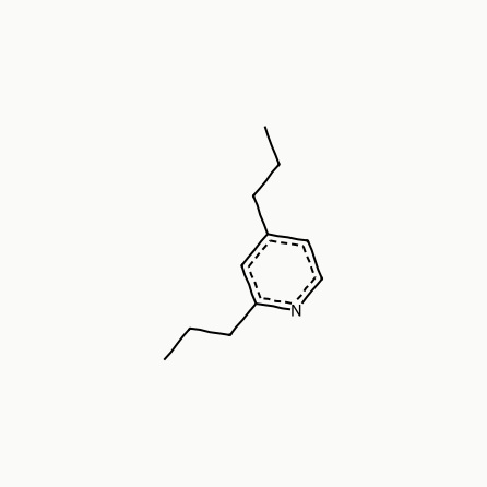 CCCc1ccnc(CCC)c1